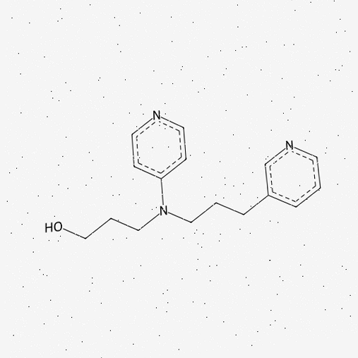 OCCCN(CCCc1cccnc1)c1ccncc1